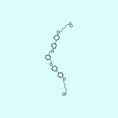 c1cc(COc2ccc(-c3ccc(OCCCCC4CO4)cc3)cc2)cc(COc2ccc(-c3ccc(OCCCCC4CO4)cc3)cc2)c1